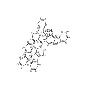 CC1(C)c2ccccc2-c2cccc(N(c3ccc4c(c3)C3(c5ccccc5-c5ccccc53)c3ccccc3-4)c3ccc4c(c3)sc3ccccc34)c21